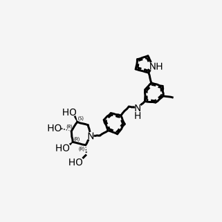 Cc1cc(NCc2ccc(CN3C[C@H](O)[C@@H](O)[C@H](O)[C@H]3CO)cc2)cc(-c2ccc[nH]2)c1